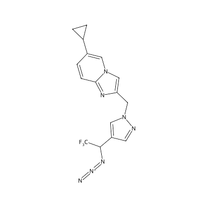 [N-]=[N+]=NC(c1cnn(Cc2cn3cc(C4CC4)ccc3n2)c1)C(F)(F)F